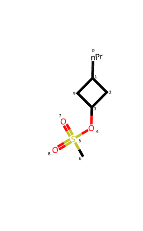 CCCC1CC(OS(C)(=O)=O)C1